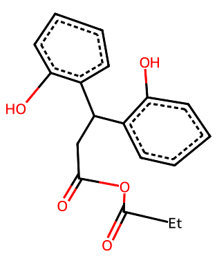 CCC(=O)OC(=O)CC(c1ccccc1O)c1ccccc1O